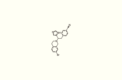 N#Cc1ccc(CC(c2cnc[nH]2)N2CCc3ccc(Br)cc3C2)cc1